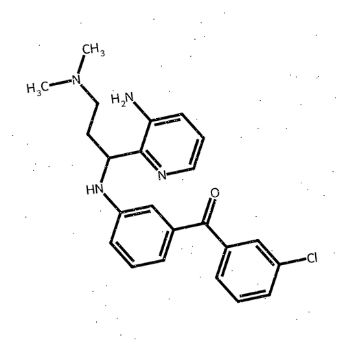 CN(C)CCC(Nc1cccc(C(=O)c2cccc(Cl)c2)c1)c1ncccc1N